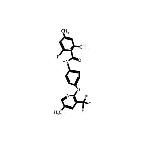 Cc1cc(C)c(C(=O)Nc2ccc(Oc3ncc(C)cc3C(F)(F)F)cc2)c(F)c1